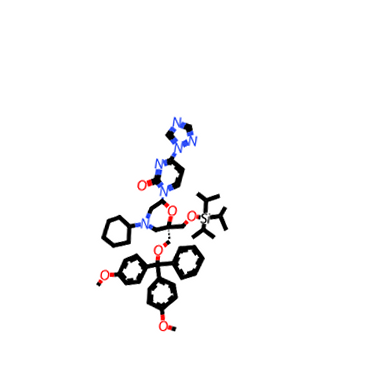 COc1ccc(C(OC[C@]2(CO[Si](C(C)C)(C(C)C)C(C)C)CN(C3CCCCC3)C[C@H](n3ccc(-n4cncn4)nc3=O)O2)(c2ccccc2)c2ccc(OC)cc2)cc1